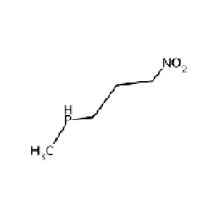 CPCCC[N+](=O)[O-]